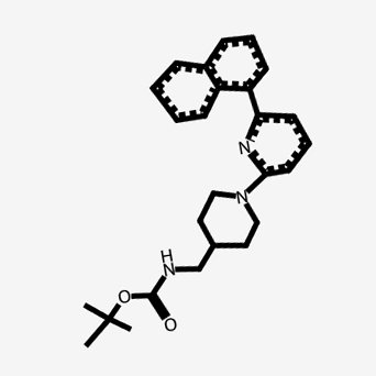 CC(C)(C)OC(=O)NCC1CCN(c2cccc(-c3cccc4ccccc34)n2)CC1